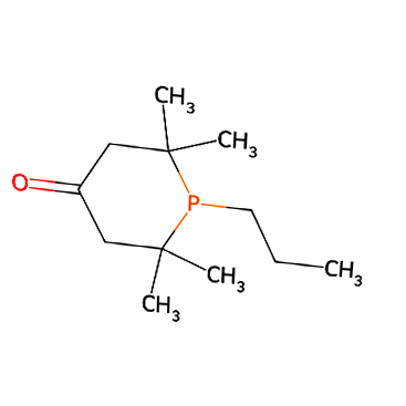 CCCP1C(C)(C)CC(=O)CC1(C)C